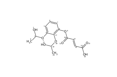 CC(O)Oc1cccc(OC(=O)C=CC(=O)O)c1OC(C)O